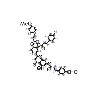 COc1ccc(/C=C/C(=O)Oc2ccc(-c3cc(=O)c4c(O)cc(OC(=O)/C=C/c5ccc(C=O)cc5)cc4o3)cc2OC(=O)/C=C/c2ccc(C)cc2)cc1